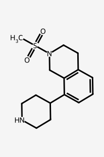 CS(=O)(=O)N1CCc2cccc(C3CCNCC3)c2C1